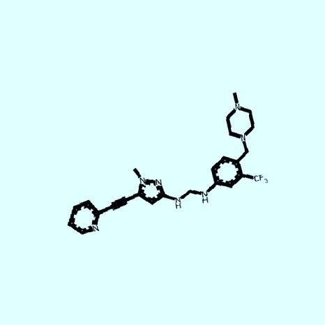 CN1CCN(Cc2ccc(NCNc3cc(C#Cc4ccccn4)n(C)n3)cc2C(F)(F)F)CC1